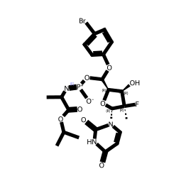 CC(C)OC(=O)C(C)/N=[P+](\[O-])OC(Oc1ccc(Br)cc1)[C@@H]1O[C@@H](n2ccc(=O)[nH]c2=O)[C@](C)(F)[C@@H]1O